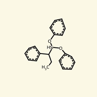 CCC(c1ccccc1)[SiH](Oc1ccccc1)Oc1ccccc1